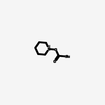 CC(C)(C)C(=O)O[SiH]1CCCCC1